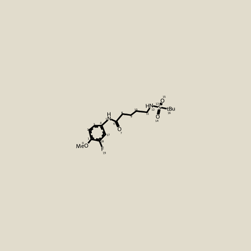 COc1ccc(NC(=O)CCCCNS(=O)(=O)C(C)(C)C)cc1F